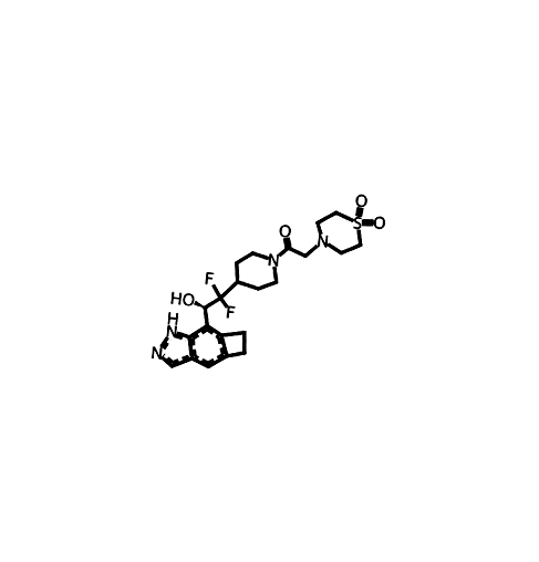 O=C(CN1CCS(=O)(=O)CC1)N1CCC(C(F)(F)[C@H](O)c2c3c(cc4cn[nH]c24)CC3)CC1